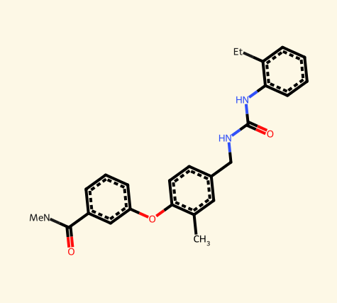 CCc1ccccc1NC(=O)NCc1ccc(Oc2cccc(C(=O)NC)c2)c(C)c1